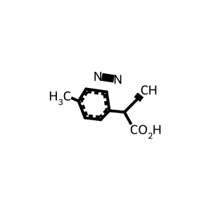 C#CC(C(=O)O)c1ccc(C)cc1.N#N